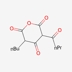 CCCCC1C(=O)OC(=O)C(C(=O)CCC)C1=O